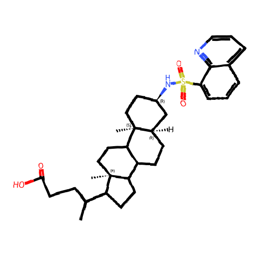 CC(CCC(=O)O)C1CCC2C3CC[C@@H]4C[C@H](NS(=O)(=O)c5cccc6cccnc56)CC[C@]4(C)C3CC[C@]12C